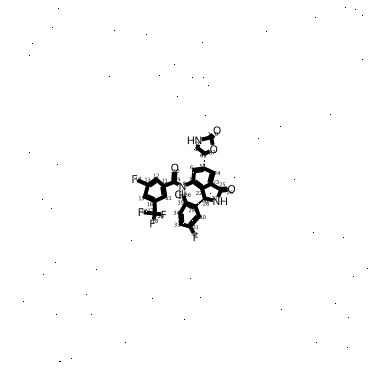 O=C1NC[C@@H](c2cc(NC(=O)c3cc(F)cc(C(F)(F)F)c3)c3c(c2)C(=O)N[C@H]3c2cc(F)ccc2Cl)O1